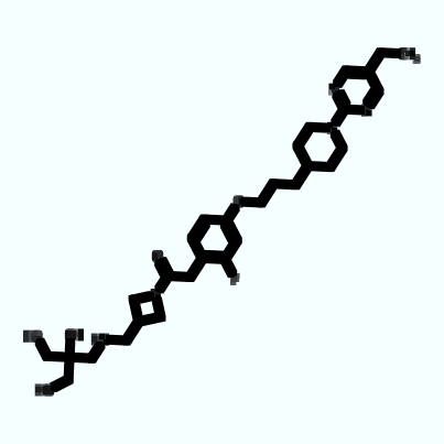 CCc1cnc(N2CCC(CCCOc3ccc(CC(=O)N4CC(CNCC(O)(CO)CO)C4)c(F)c3)CC2)nc1